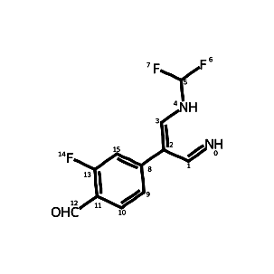 N=C/C(=C\NC(F)F)c1ccc(C=O)c(F)c1